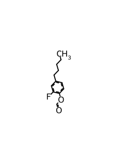 CCCCCc1ccc(OC=O)c(F)c1